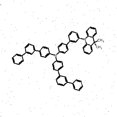 CC1(C)c2ccccc2N(c2cccc(-c3ccc(N(c4ccc(-c5cccc(-c6ccccc6)c5)cc4)c4ccc(-c5cccc(-c6ccccc6)c5)cc4)cc3)c2)c2ccccc21